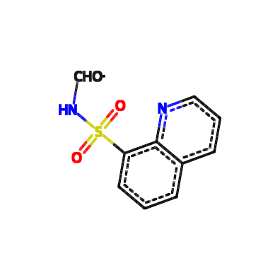 O=[C]NS(=O)(=O)c1cccc2cccnc12